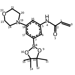 C=CC(=O)Nc1cc(B2OC(C)(C)C(C)(C)O2)cc(N2CCOCC2)c1